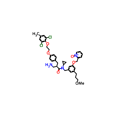 COCCCc1cc(CN(C(=O)C(CN)Cc2ccc(OCCOc3c(Cl)cc(C)cc3Cl)cc2)C2CC2)cc(OCc2cccc[n+]2[O-])c1